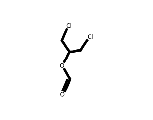 O=COC(CCl)CCl